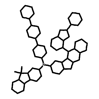 CC1(C)C2CCCCC2C2CCC(N(C3CCC(C4CCC(C5CCCCC5)CC4)CC3)C3CCC4CC5CC6CCCCC6C(C6CCCC7CC(C8CCCCC8)CC76)C5C4C3)CC21